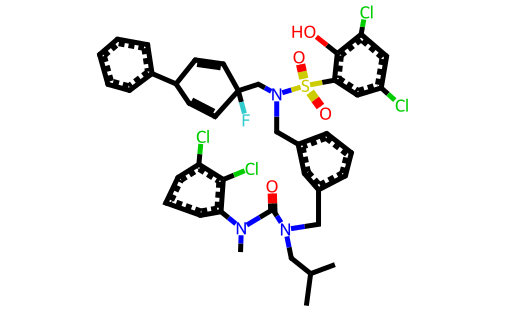 CC(C)CN(Cc1cccc(CN(CC2(F)C=CC(c3ccccc3)C=C2)S(=O)(=O)c2cc(Cl)cc(Cl)c2O)c1)C(=O)N(C)c1cccc(Cl)c1Cl